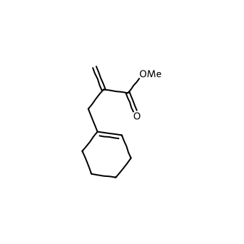 C=C(CC1=CCCCC1)C(=O)OC